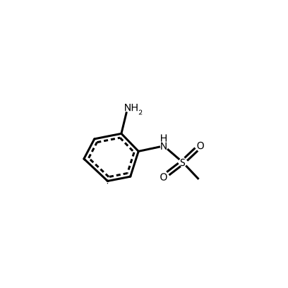 CS(=O)(=O)Nc1c[c]ccc1N